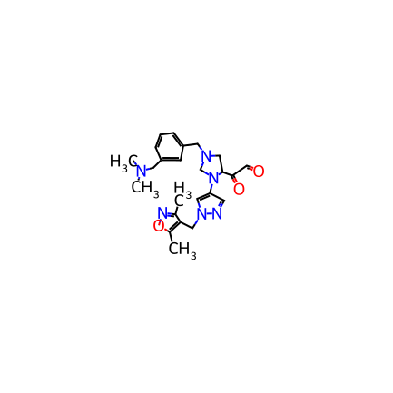 Cc1noc(C)c1Cn1cc(N2CN(Cc3cccc(CN(C)C)c3)CC2C(=O)C=O)cn1